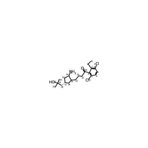 CCc1c(Cl)ccc(Cl)c1C(=O)CCCC1C[C@H](CC(C)(C)O)CC1N